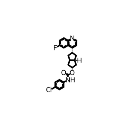 O=C(Nc1ccc(Cl)cc1)O[C@@H]1CC2C[C@H](c3ccnc4ccc(F)cc34)C[C@@H]2C1